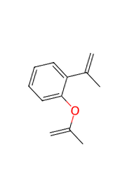 C=C(C)Oc1ccccc1C(=C)C